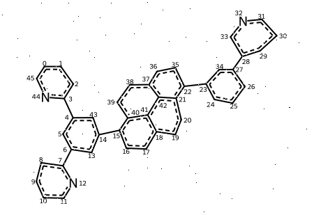 c1ccc(-c2cc(-c3ccccn3)cc(-c3ccc4ccc5c(-c6cccc(-c7cccnc7)c6)ccc6ccc3c4c65)c2)nc1